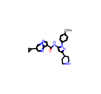 COc1ccc(-n2nc(C3CCNCC3)cc2NC(=O)c2cnn3cc(C4CC4)cnc23)cc1